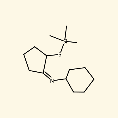 C[Si](C)(C)SC1CCCC1=NC1CCCCC1